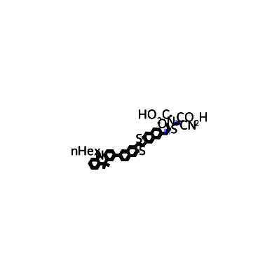 CCCCCCN1c2ccccc2C(C)(C)c2cc(-c3ccc4cc5sc6c7cc8cc(/C=c9/s/c(=C(\C#N)C(=O)O)n(CC(=O)O)c9=O)ccc8cc7sc6c5cc4c3)ccc21